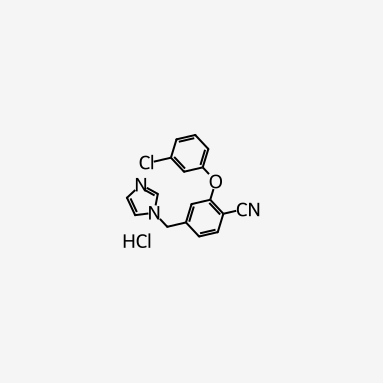 Cl.N#Cc1ccc(Cn2ccnc2)cc1Oc1cccc(Cl)c1